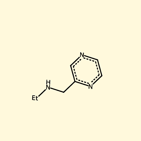 CCNCc1cnccn1